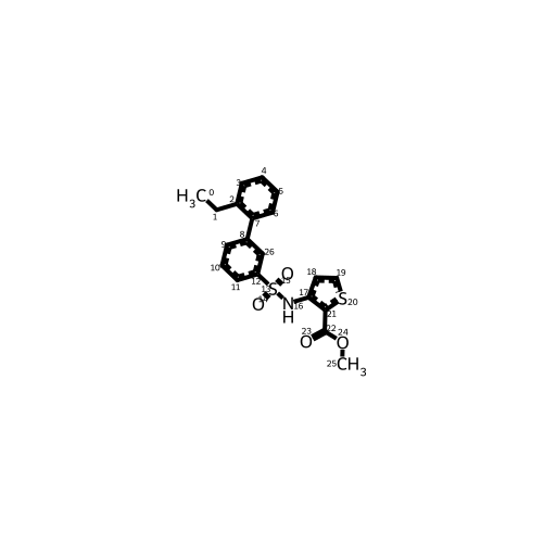 CCc1ccccc1-c1cccc(S(=O)(=O)Nc2ccsc2C(=O)OC)c1